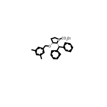 CCOC(=O)N1CC[C@@H](OCc2cc(C)cc(C)c2)[C@H]1C(c1ccccc1)c1ccccc1